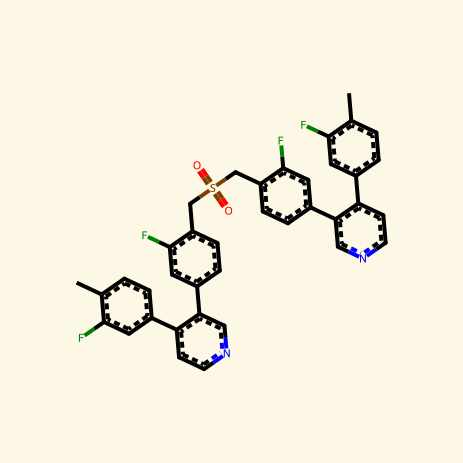 Cc1ccc(-c2ccncc2-c2ccc(CS(=O)(=O)Cc3ccc(-c4cnccc4-c4ccc(C)c(F)c4)cc3F)c(F)c2)cc1F